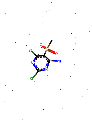 CS(=O)(=O)c1c([NH])nc(Cl)nc1Cl